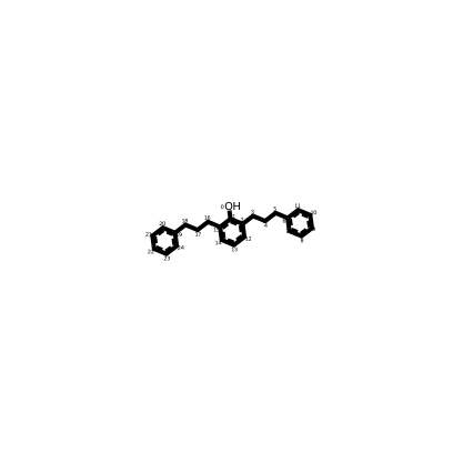 Oc1c(CCCc2ccccc2)cccc1CCCc1ccccc1